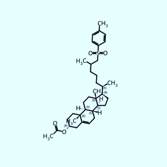 CC(=O)O[C@@H]1CC[C@@]2(C)C(=CC[C@H]3[C@@H]4CC[C@H]([C@H](C)CCCC(C)CS(=O)(=O)c5ccc(C)cc5)[C@@]4(C)CC[C@@H]32)C1